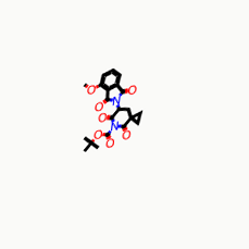 COc1cccc2c1C(=O)N(C1CC3(CC3)C(=O)N(C(=O)OC(C)(C)C)C1=O)C2=O